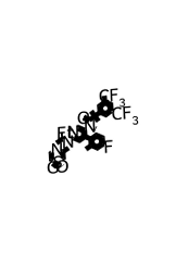 CC[C@@H]1CN2CCS(=O)(=O)CC2CN1c1cc(-c2ccc(F)cc2C)c(N(C)C(=O)C(C)(C)c2cc(C(F)(F)F)cc(C(F)(F)F)c2)cn1